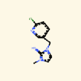 Cn1ccn(Cc2ccc(Cl)nc2)c1=N